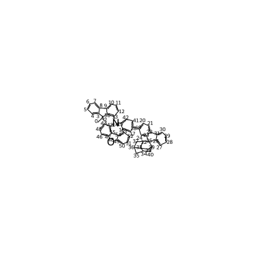 CC1(C)c2ccccc2-c2cccc(N(c3ccc(-c4ccc5c(c4)C4(c6ccccc6-5)C5CC6CC(C5)CC4C6)cc3)c3cccc4oc5ccccc5c34)c21